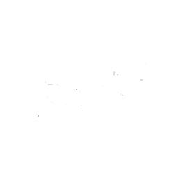 COc1cncc2nc(-c3ccnc(Nc4ccccc4)c3)nc(O)c12